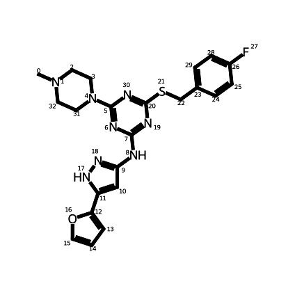 CN1CCN(c2nc(Nc3cc(-c4ccco4)[nH]n3)nc(SCc3ccc(F)cc3)n2)CC1